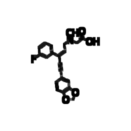 CN(CC=C(C#Cc1ccc2c(c1)OCO2)c1cccc(F)c1)CC(=O)O